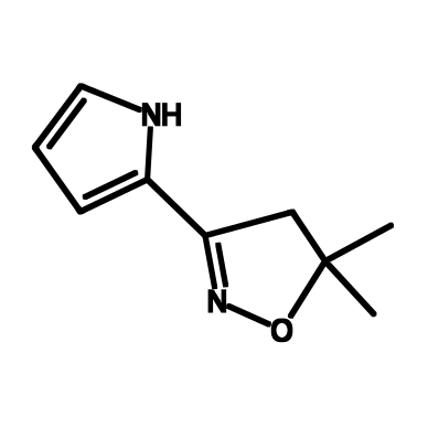 CC1(C)CC(c2ccc[nH]2)=NO1